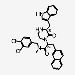 CN(Cc1ccc(Cl)c(Cl)c1)C(=O)[C@H](Cc1ccc2ccccc2c1)N1CCN[C@@H](Cc2c[nH]c3ccccc23)C1=O